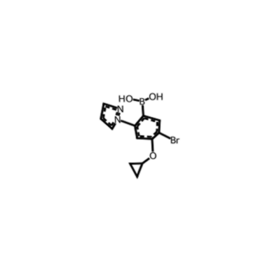 OB(O)c1cc(Br)c(OC2CC2)cc1-n1cccn1